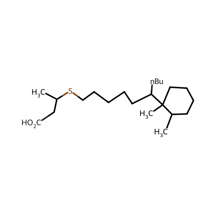 CCCCC(CCCCCSC(C)CC(=O)O)C1(C)CCCCC1C